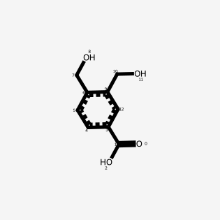 O=C(O)c1ccc(CO)c(CO)c1